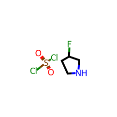 FC1CCNC1.O=S(=O)(Cl)Cl